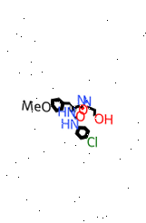 COc1ccc(C[C@H](NC(=O)Nc2ccc(Cl)cc2)c2nnc(CCO)o2)cc1